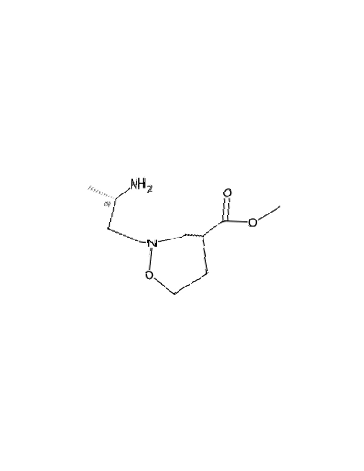 COC(=O)C1CCON(C[C@H](C)N)C1